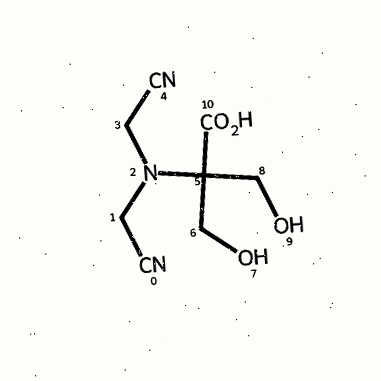 N#CCN(CC#N)C(CO)(CO)C(=O)O